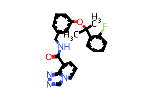 CC(C)(Oc1cccc(CNC(=O)c2cccn3cnnc23)c1)c1ccccc1F